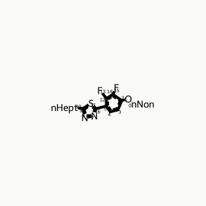 CCCCCCCCCOc1ccc(-c2nnc(CCCCCCC)s2)c(F)c1F